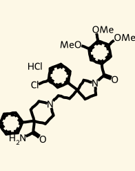 COc1cc(C(=O)N2CCC(CCN3CCC(C(N)=O)(c4ccccc4)CC3)(c3cccc(Cl)c3)C2)cc(OC)c1OC.Cl